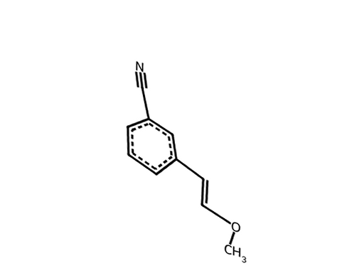 COC=Cc1cccc(C#N)c1